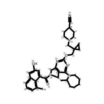 CC1CCCCCN1c1nc(OCC2(CN3CCC(C#N)CC3)CC2)nc2c1CN(C(=O)c1cc(O)cc3cccc(I)c13)C2